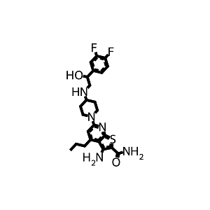 CCCc1cc(N2CCC(NCC(O)c3ccc(F)c(F)c3)CC2)nc2sc(C(N)=O)c(N)c12